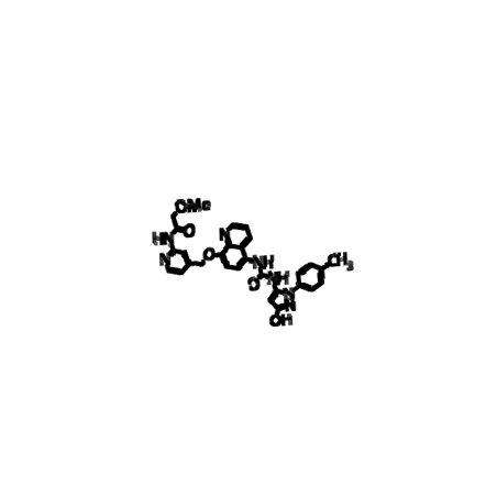 COCC(=O)Nc1cc(COc2ccc(NC(=O)Nc3cc(O)nn3-c3ccc(C)cc3)c3cccnc23)ccn1